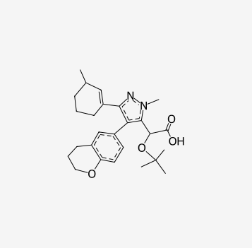 CC1C=C(c2nn(C)c(C(OC(C)(C)C)C(=O)O)c2-c2ccc3c(c2)CCCO3)CCC1